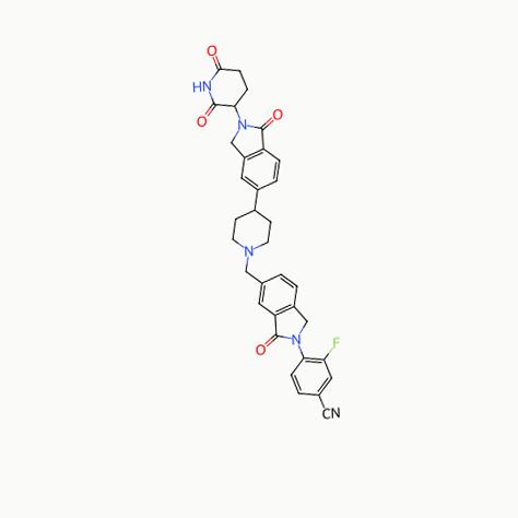 N#Cc1ccc(N2Cc3ccc(CN4CCC(c5ccc6c(c5)CN(C5CCC(=O)NC5=O)C6=O)CC4)cc3C2=O)c(F)c1